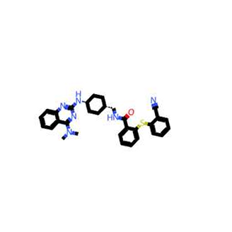 CN(C)c1nc(N[C@H]2CC[C@@H](CNC(=O)c3ccccc3Sc3ccccc3C#N)CC2)nc2ccccc12